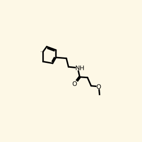 COCCC(=O)NCCC1=CC[CH]C=C1